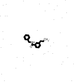 [CH2]CCc1cccc(C(=O)NCc2ccccc2)c1